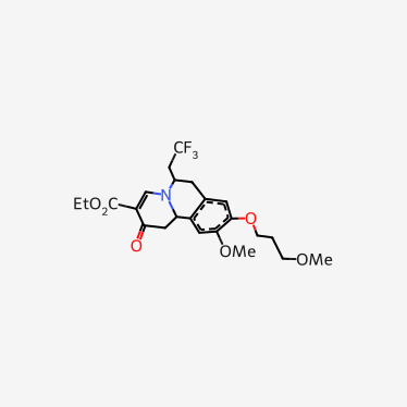 CCOC(=O)C1=CN2C(CC(F)(F)F)Cc3cc(OCCCOC)c(OC)cc3C2CC1=O